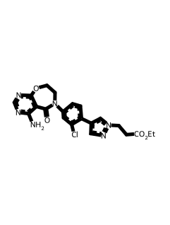 CCOC(=O)CCn1cc(-c2ccc(N3CCOc4ncnc(N)c4C3=O)cc2Cl)cn1